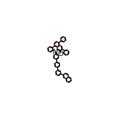 c1ccc(-c2ccc(-c3ccccc3N(c3ccc(-c4ccc(-c5cccc(-c6ccc7ccccc7c6)c5)cc4)cc3)c3cccc4c3oc3ccccc34)cc2)cc1